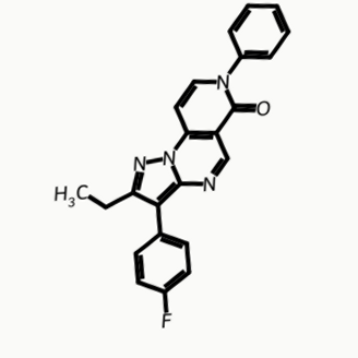 CCc1nn2c(ncc3c(=O)n(-c4ccccc4)ccc32)c1-c1ccc(F)cc1